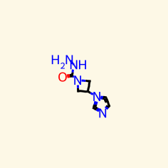 NNC(=O)N1CC(n2ccnc2)C1